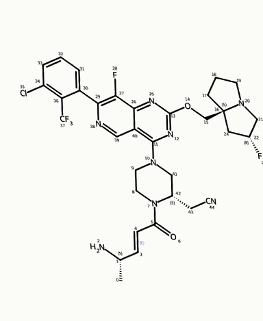 C[C@H](N)/C=C/C(=O)N1CCN(c2nc(OC[C@@]34CCCN3C[C@H](F)C4)nc3c(F)c(-c4cccc(Cl)c4C(F)(F)F)ncc23)C[C@@H]1CC#N